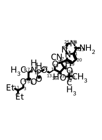 CCC(CC)COC(=O)[C@H](C)N[PH](=O)OC[C@H]1O[C@@](C#N)(c2ccc3c(N)ncnn23)[C@@H]2OC(C)(C)O[C@@H]21